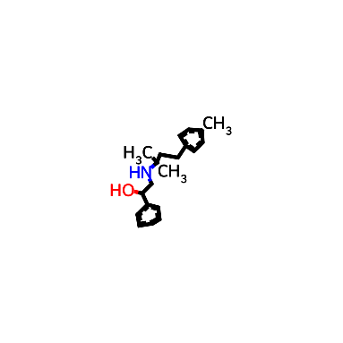 Cc1ccc(CCC(C)(C)NCC(O)c2ccccc2)cc1